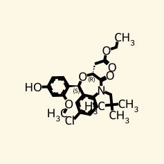 CCOC(=O)C[C@H]1O[C@H](c2ccc(O)cc2OC)c2cc(Cl)ccc2N(CC(C)(C)C)C1=O